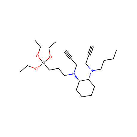 C#CCN(CCCC)[C@@H]1CCCC[C@H]1N(CC#C)CCC[Si](OCC)(OCC)OCC